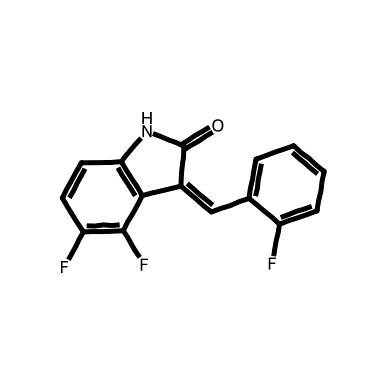 O=C1Nc2ccc(F)c(F)c2C1=Cc1ccccc1F